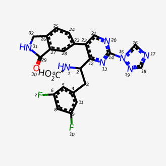 O=C(O)NC(Cc1cc(F)cc(F)c1)c1nc(-n2cncn2)ncc1-c1ccc2c(c1)C(=O)NC2